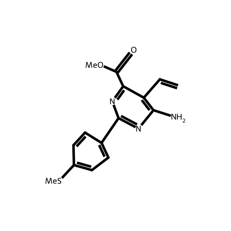 C=Cc1c(N)nc(-c2ccc(SC)cc2)nc1C(=O)OC